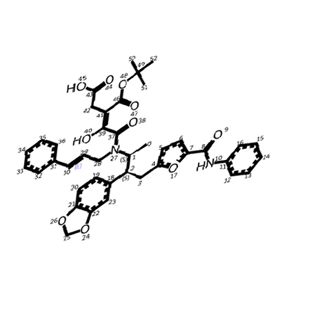 C[C@@H]([C@@H](Cc1ccc(C(=O)Nc2ccccc2)o1)c1ccc2c(c1)OCO2)N(C/C=C/c1ccccc1)C(=O)C(O)=C(CC(=O)O)C(=O)OC(C)(C)C